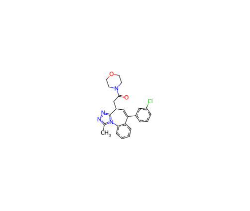 Cc1nnc2n1-c1ccccc1C(c1cccc(Cl)c1)=CC2CC(=O)N1CCOCC1